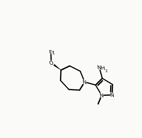 CCO[C@@H]1CCCN(c2c(N)cnn2C)CC1